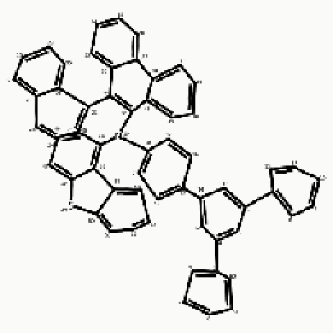 c1ccc(-c2cc(-c3ccccc3)cc(-c3ccc(N(c4c(-c5cccc6ccccc56)c5ccccc5c5ccccc45)c4cccc5sc6ccccc6c45)cc3)c2)cc1